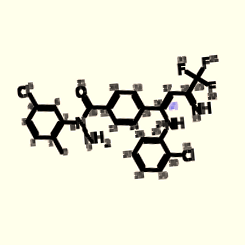 Cc1ccc(Cl)cc1N(N)C(=O)c1ccc(/C(=C/C(=N)C(F)(F)F)Nc2ccccc2Cl)cc1